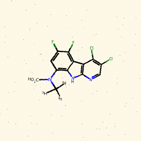 [2H]C([2H])([2H])N(C(=O)O)c1cc(F)c(F)c2c1[nH]c1ncc(Cl)c(Cl)c12